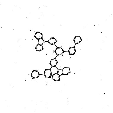 c1cc(-c2ccccc2)cc(-c2ccc(-c3nc(-c4cccc(-c5ccccc5)c4)nc(-c4cccc(-n5c6ccccc6c6ccccc65)c4)n3)cc2-n2c3c(c4ccccc42)C=CCC3)c#1